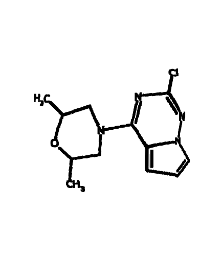 CC1CN(c2nc(Cl)nn3cccc23)CC(C)O1